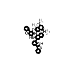 Cc1cc2c(cc1N1c3cc4c(cc3Bc3c(-c5cccc6c5[nH]c5sc7ccccc7c56)cc5ccccc5c31)oc1ccccc14)C(C)(C)CCC2(C)C